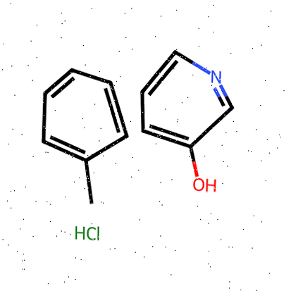 Cc1ccccc1.Cl.Oc1cccnc1